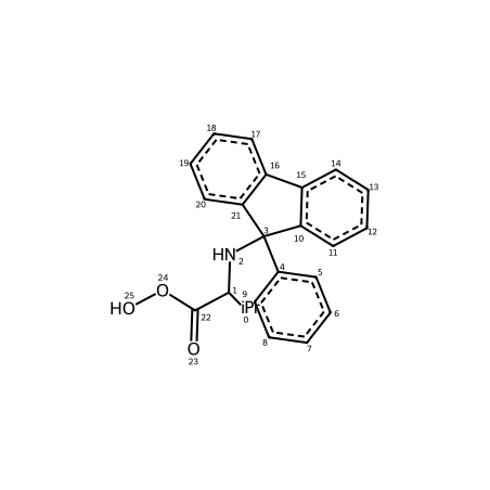 CC(C)C(NC1(c2ccccc2)c2ccccc2-c2ccccc21)C(=O)OO